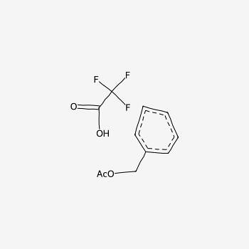 CC(=O)OCc1ccccc1.O=C(O)C(F)(F)F